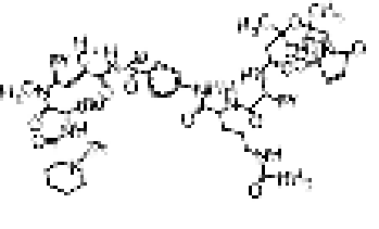 C/C(=C\[C@H](C(C)C)N(C)C(=O)C(NC(=O)[C@H]1CCCCN1C(C)C)C(C)(C)C)C(=O)NS(=O)(=O)c1ccc(NC(=O)[C@H](CCCNC(N)=O)NC(=O)C(NC(=O)CC(C)(C)OC(C)(C)CN2C(=O)C=CC2=O)C(C)C)cc1